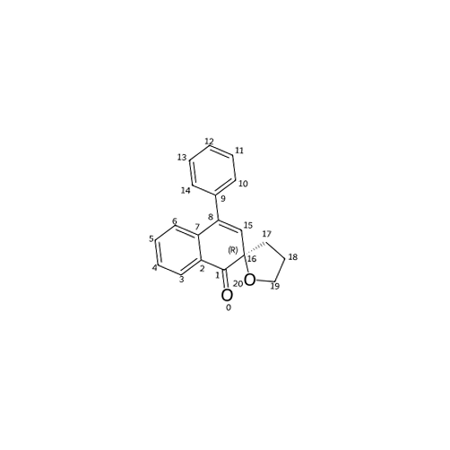 O=C1c2ccccc2C(c2ccccc2)=C[C@]12CCCO2